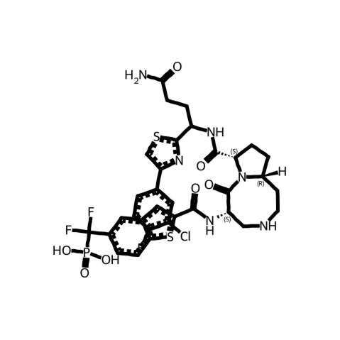 NC(=O)CCC(NC(=O)[C@@H]1CC[C@@H]2CCNC[C@H](NC(=O)c3cc4cc(C(F)(F)P(=O)(O)O)ccc4s3)C(=O)N21)c1nc(-c2ccc(F)c(Cl)c2)cs1